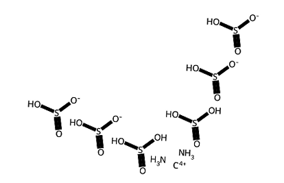 N.N.O=S(O)O.O=S(O)O.O=S([O-])O.O=S([O-])O.O=S([O-])O.O=S([O-])O.[C+4]